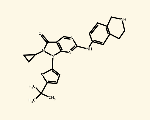 CC(C)(C)c1ccc(-n2c3nc(Nc4ccc5c(c4)CCNC5)ncc3c(=O)n2C2CC2)s1